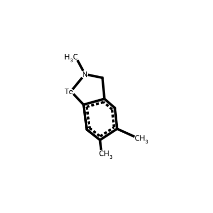 Cc1cc2c(cc1C)[Te]N(C)C2